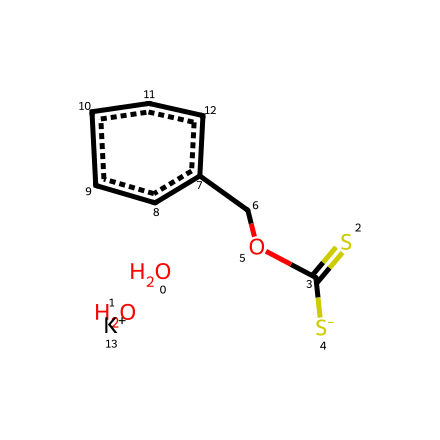 O.O.S=C([S-])OCc1ccccc1.[K+]